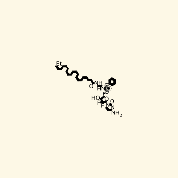 CC/C=C\C/C=C\C/C=C\C/C=C\C/C=C\C/C=C\CCC(=O)NCCNP(=O)(OC[C@H]1O[C@@H](n2ccc(N)nc2=O)C(F)(F)[C@@H]1O)Oc1ccccc1